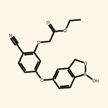 CCOC(=O)COc1cc(Oc2ccc3c(c2)COB3O)ccc1C#N